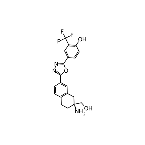 N[C@@]1(CO)CCc2ccc(-c3nnc(-c4ccc(O)c(C(F)(F)F)c4)o3)cc2C1